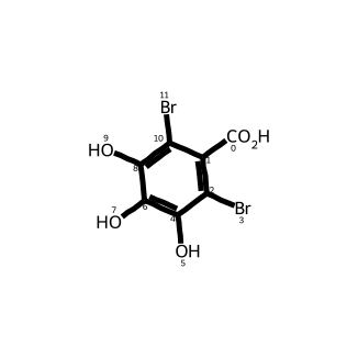 O=C(O)c1c(Br)c(O)c(O)c(O)c1Br